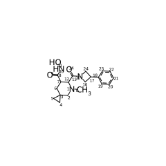 CN1CC2(CC2)CC(C(=O)NO)C1C(=O)N1CC(c2ccccc2)C1